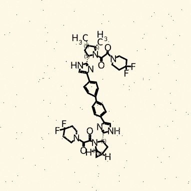 C[C@H]1C[C@@H](c2nc(-c3ccc(-c4ccc(-c5c[nH]c([C@@H]6C[C@@H]7C[C@@H]7N6C(=O)C(=O)N6CCC(F)(F)CC6)n5)cc4)cc3)c[nH]2)N(C(=O)C(=O)N2CCC(F)(F)CC2)[C@H]1C